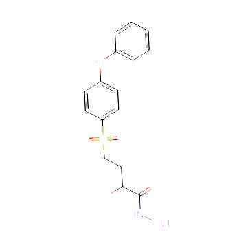 O=C(NO)C(O)CCS(=O)(=O)c1ccc(Oc2ccccc2)cc1